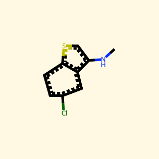 CNc1csc2ccc(Cl)cc12